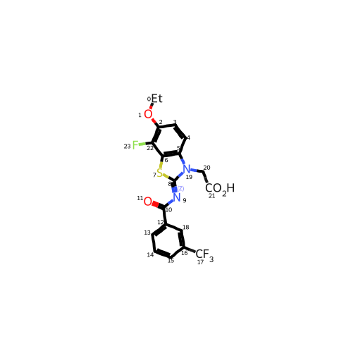 CCOc1ccc2c(s/c(=N\C(=O)c3cccc(C(F)(F)F)c3)n2CC(=O)O)c1F